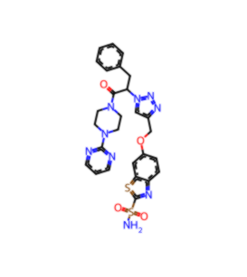 NS(=O)(=O)c1nc2ccc(OCc3cn(C(Cc4ccccc4)C(=O)N4CCN(c5ncccn5)CC4)nn3)cc2s1